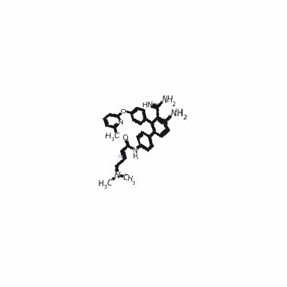 Cc1cccc(Oc2ccc(-c3c(-c4ccc(NC(=O)/C=C/CN(C)C)cc4)ccc(N)c3C(=N)N)cc2)n1